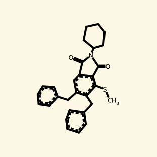 CSc1c(Cc2ccccc2)c(Cc2ccccc2)cc2c1C(=O)N(C1CCCCC1)C2=O